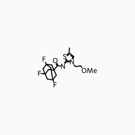 COCCn1cc(C)sc1=NC(=O)C12CC3(F)CC(F)(CC(F)(C3)C1)C2